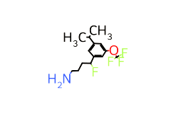 CC(C)c1cc(OC(F)(F)F)cc([C@@H](F)CCCN)c1